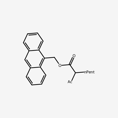 CCCCCC(C(C)=O)C(=O)OCc1c2ccccc2cc2ccccc12